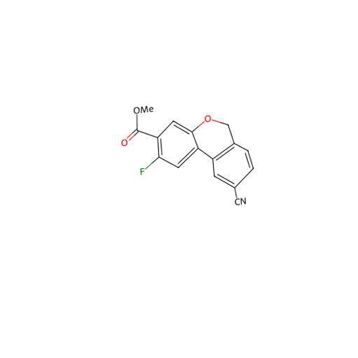 COC(=O)c1cc2c(cc1F)-c1cc(C#N)ccc1CO2